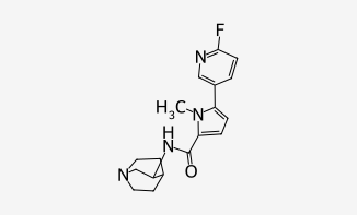 Cn1c(C(=O)NC2CN3CCC2CC3)ccc1-c1ccc(F)nc1